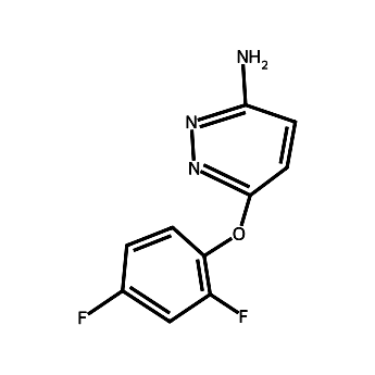 Nc1ccc(Oc2ccc(F)cc2F)nn1